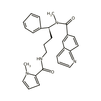 CN(C(=O)c1ccc2ncccc2c1)[C@@H](CCCNC(=O)c1cccn1C)c1ccccc1